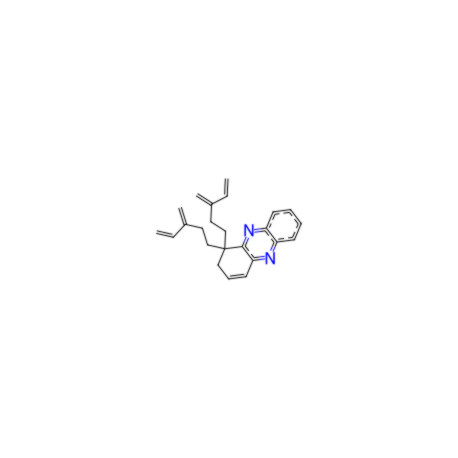 C=CC(=C)CCC1(CCC(=C)C=C)CC=Cc2nc3ccccc3nc21